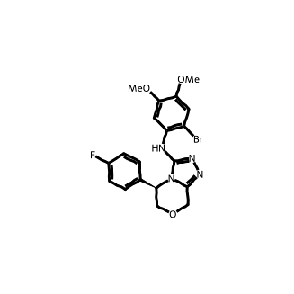 COc1cc(Br)c(Nc2nnc3n2[C@H](c2ccc(F)cc2)COC3)cc1OC